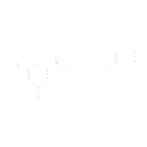 O=C(NCCOCc1ccc(F)cc1)c1cc([N+](=O)[O-])cc([N+](=O)[O-])c1